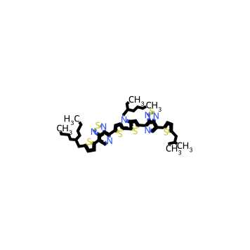 CCCCC(CCCC)Cc1ccc(-c2cnc(-c3cc4c(s3)c3sc(-c5ncc(-c6ccc(CC(C)CC)s6)c6nsnc56)cc3n4CC(CC)CCCC)c3nsnc23)s1